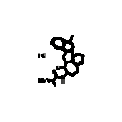 CNC(C)C(=O)NC1CCc2ccccc2N(Cc2c(C)cc(C)c3ccccc23)C1=O.Cl